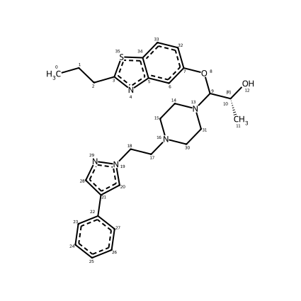 CCCc1nc2cc(OC([C@@H](C)O)N3CCN(CCn4cc(-c5ccccc5)cn4)CC3)ccc2s1